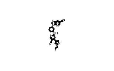 N#Cc1cnc2c(c1)ncn2[C@H]1CCC[C@@H](Nc2ncc(C#N)c(-c3cnn(CCF)c3)n2)C1